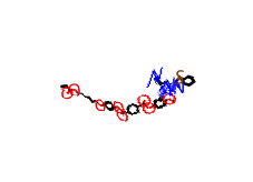 C=CC(=O)OCCCCCCOc1ccc(OC(=O)C2CCC(C(=O)Oc3ccc(OC)c(/C=N/N(CCC#N)c4nc5ccccc5s4)c3)CC2)cc1